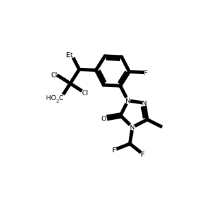 CCC(c1ccc(F)c(-n2nc(C)n(C(F)F)c2=O)c1)C(Cl)(Cl)C(=O)O